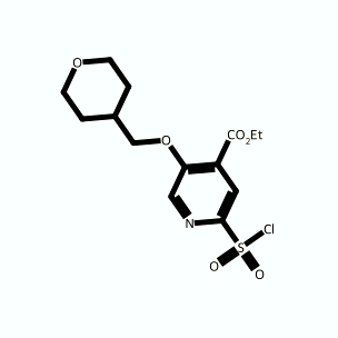 CCOC(=O)c1cc(S(=O)(=O)Cl)ncc1OCC1CCOCC1